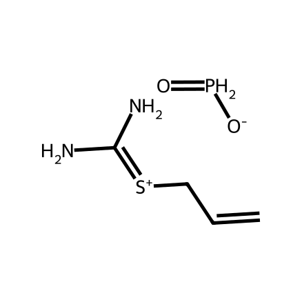 C=CC[S+]=C(N)N.O=[PH2][O-]